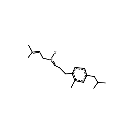 CC(C)=CC[N+]([O-])=CCCc1ccc(CC(C)C)cc1C